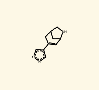 C1=C(c2cnoc2)CC2CNC1C2